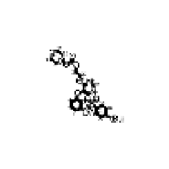 COc1cccc(Oc2c(NS(=O)(=O)c3ccc(C(C)(C)C)cc3)ncnc2OCCOC(=O)ON2CCOCC2)c1